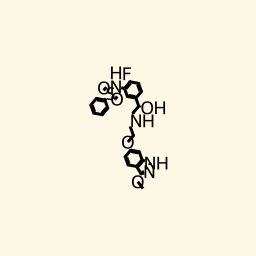 COc1n[nH]c2cc(OCCNC[C@H](O)c3ccc(F)c(NS(=O)(=O)c4ccccc4)c3)ccc12